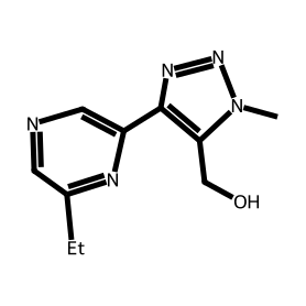 CCc1cncc(-c2nnn(C)c2CO)n1